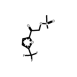 CP(C)(=O)OCC(=O)c1ccc(C(F)(F)F)o1